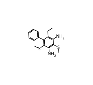 CCc1c(N)c(SC)c(N)c(SC)c1-c1ccccc1